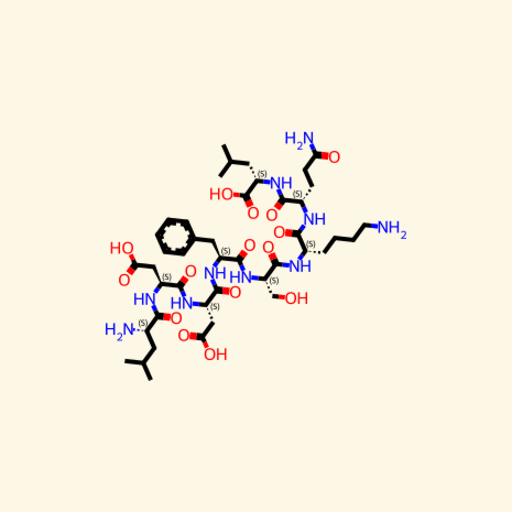 CC(C)C[C@H](NC(=O)[C@H](CCC(N)=O)NC(=O)[C@H](CCCCN)NC(=O)[C@H](CO)NC(=O)[C@H](Cc1ccccc1)NC(=O)[C@H](CC(=O)O)NC(=O)[C@H](CC(=O)O)NC(=O)[C@@H](N)CC(C)C)C(=O)O